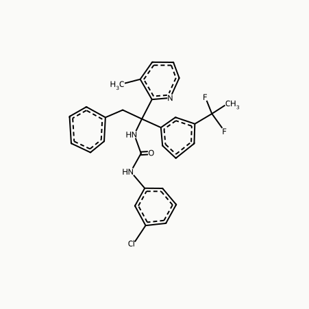 Cc1cccnc1C(Cc1ccccc1)(NC(=O)Nc1cccc(Cl)c1)c1cccc(C(C)(F)F)c1